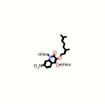 CCCCCCOc1c(OCC=C(C)CCC=C(C)C)c(=O)n(CCCCCC)c2cc([N+](=O)[O-])ccc12